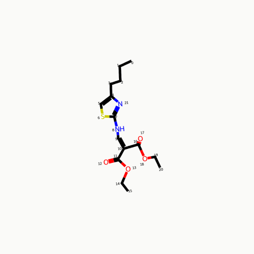 CCCCc1csc(NC=C(C(=O)OCC)C(=O)OCC)n1